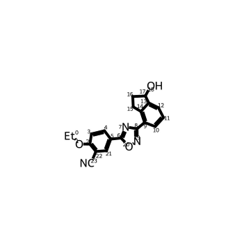 CCOc1ccc(-c2nc(-c3cccc4c3CCC4O)no2)cc1C#N